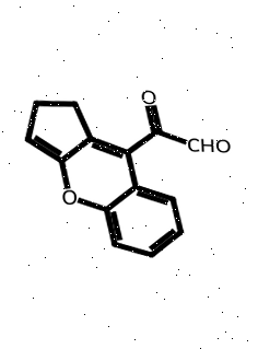 O=CC(=O)C1=C2CCC=C2Oc2ccccc21